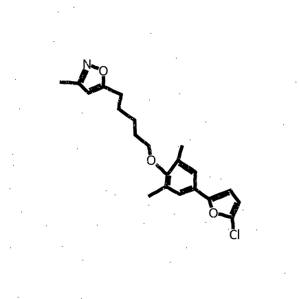 Cc1cc(CCCCCOc2c(C)cc(-c3ccc(Cl)o3)cc2C)on1